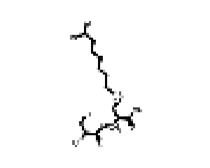 CC(CS)C(=O)O.CC(CS)C(=O)O.CCCCCCCC(O)O